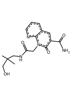 CC(C)(CO)CNC(=O)Cn1c(=O)c(C(N)=O)cc2cccnc21